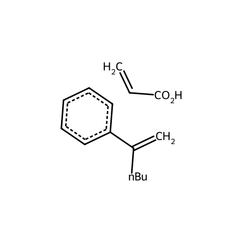 C=C(CCCC)c1ccccc1.C=CC(=O)O